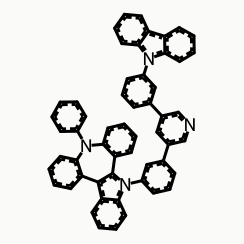 c1ccc(N2c3ccccc3-c3c(n(-c4cccc(-c5cncc(-c6cccc(-n7c8ccccc8c8ccccc87)c6)c5)c4)c4ccccc34)-c3ccccc32)cc1